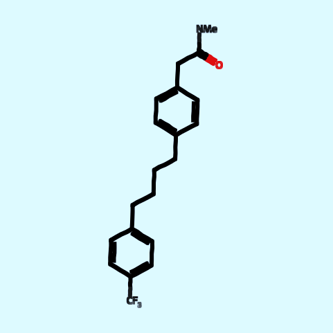 CNC(=O)Cc1ccc(CCCCc2ccc(C(F)(F)F)cc2)cc1